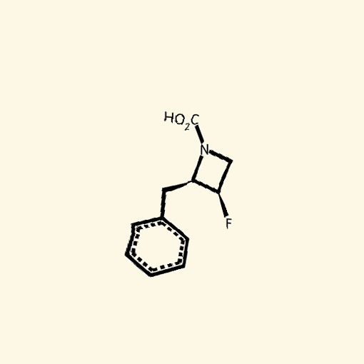 O=C(O)N1C[C@@H](F)[C@H]1Cc1ccccc1